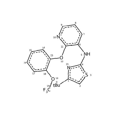 CC(C)(C)c1csc(Nc2cccnc2Oc2ccccc2OC(F)(F)F)n1